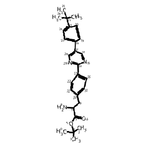 CC(C)(C)OC(=O)C(N)Cc1ccc(-c2ncc(-c3ccc(C(C)(C)C)cc3)cn2)cc1